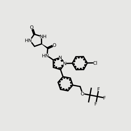 CC(C)(OCc1cccc(-c2cc(NC(=O)[C@H]3CNC(=O)N3)nn2-c2ccc(Cl)cc2)c1)C(F)(F)F